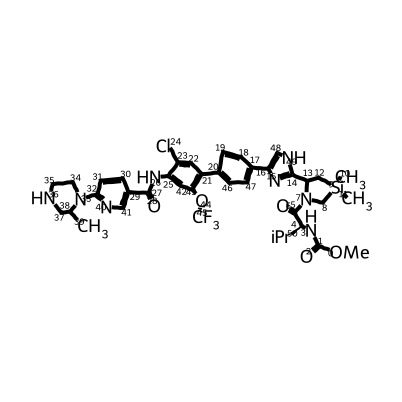 COC(=O)N[C@H](C(=O)N1C[Si](C)(C)CC1c1nc(-c2ccc(-c3cc(Cl)c(NC(=O)c4ccc(N5CCNCC5C)nc4)cc3OC(F)(F)F)cc2)c[nH]1)C(C)C